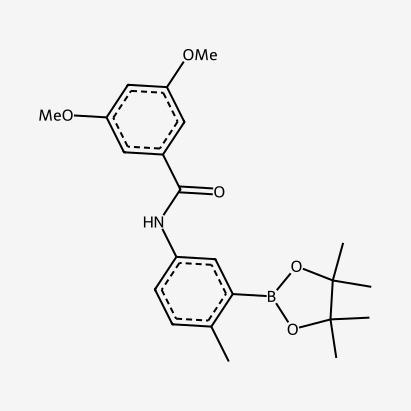 COc1cc(OC)cc(C(=O)Nc2ccc(C)c(B3OC(C)(C)C(C)(C)O3)c2)c1